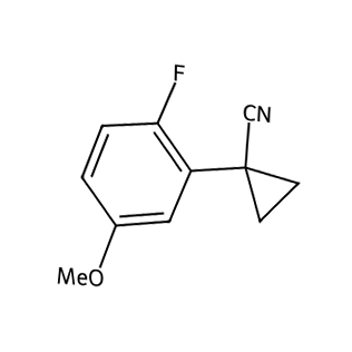 COc1ccc(F)c(C2(C#N)CC2)c1